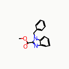 COC(=O)c1nc2ccccc2n1Cc1ccccc1